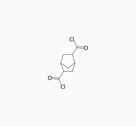 O=C(Cl)C1CC2CC1CC2C(=O)Cl